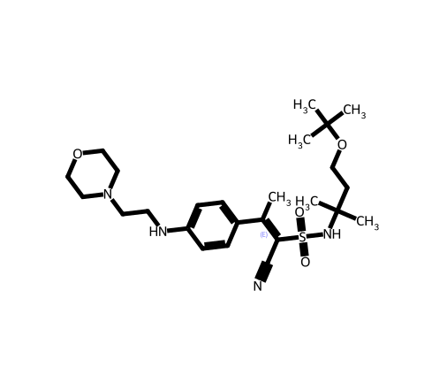 C/C(=C(/C#N)S(=O)(=O)NC(C)(C)CCOC(C)(C)C)c1ccc(NCCN2CCOCC2)cc1